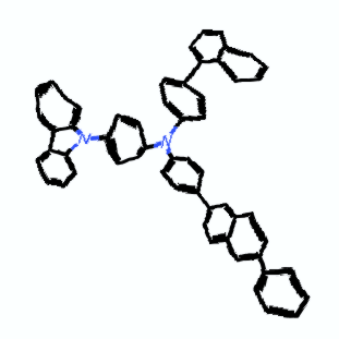 c1ccc(-c2ccc3cc(-c4ccc(N(c5ccc(-c6cccc7ccccc67)cc5)c5ccc(-n6c7ccccc7c7ccccc76)cc5)cc4)ccc3c2)cc1